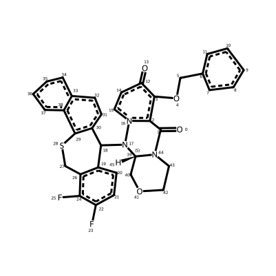 O=C1c2c(OCc3ccccc3)c(=O)ccn2N(C2c3ccc(F)c(F)c3CSc3c2ccc2ccccc32)[C@H]2COCCN12